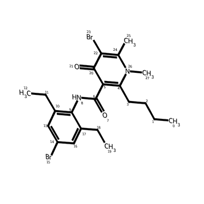 CCCCc1c(C(=O)Nc2c(CC)cc(Br)cc2CC)c(=O)c(Br)c(C)n1C